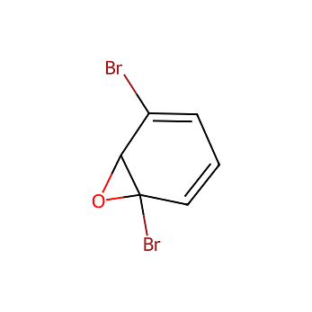 BrC1=CC=CC2(Br)OC12